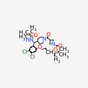 C=CCOc1cc(Cl)c(Cl)cc1C(N[S@@+]([O-])C(C)(C)C)C1CCN(C(=O)C2CN(C(=O)OC(C)(C)C)C2)CC1